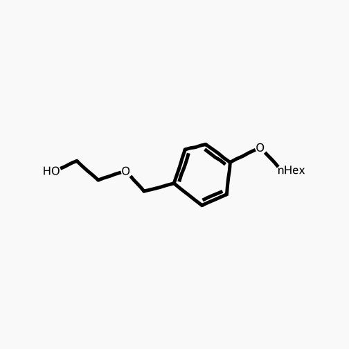 CCCCCCOc1ccc(COCCO)cc1